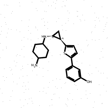 NC1CCC(N[C@@H]2C[C@H]2c2ccc(-c3cccc(O)c3)s2)CC1